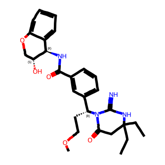 CCC1(CC)CC(=O)N([C@H](CCOC)c2cccc(C(=O)N[C@@H]3c4ccccc4OC[C@H]3O)c2)C(=N)N1